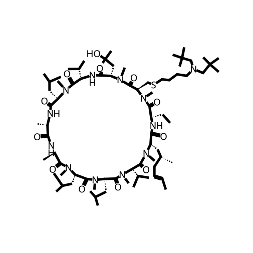 C/C=C/C[C@@H](C)C[C@H]1C(=O)N[C@@H](CC)C(=O)N(C)[C@H](CSCCCCN(CC(C)(C)C)CC(C)(C)C)C(=O)N(C)[C@@H](CC(C)(C)O)C(=O)N[C@@H](C(C)C)C(=O)N(C)[C@@H](CC(C)C)C(=O)N[C@@H](C)C(=O)N[C@H](C)C(=O)N(C)[C@@H](CC(C)C)C(=O)N(C)[C@@H](CC(C)C)C(=O)N(C)[C@@H](C(C)C)C(=O)N1C